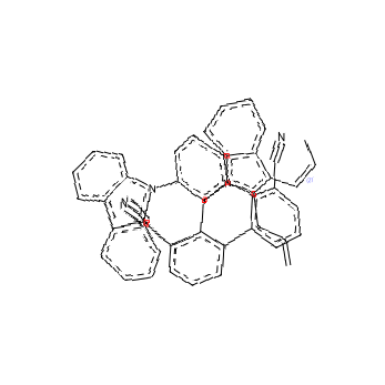 C=CCc1c(/C=C\C)c2ccccc2n1Cc1c(C#N)cccc1-c1cccc(C#N)c1-c1cccc(-n2c3ccccc3c3ccccc32)c1